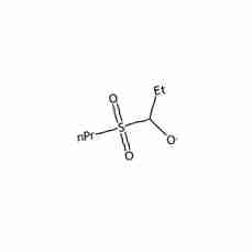 CCCS(=O)(=O)C([O])CC